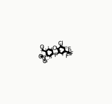 O=[C]c1cc(Oc2c(F)cc(C(F)(F)F)cc2Cl)ccc1[N+](=O)[O-]